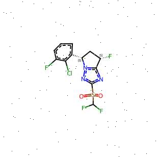 O=S(=O)(c1nc2n(n1)[C@H](c1cccc(F)c1Cl)C[C@@H]2F)C(F)F